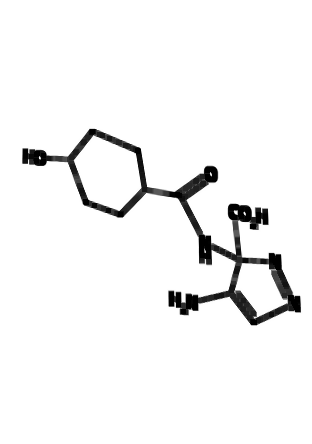 NC1=CN=NC1(NC(=O)C1CCC(O)CC1)C(=O)O